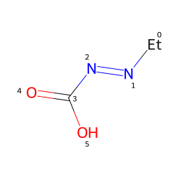 CCN=NC(=O)O